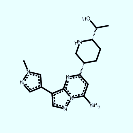 CC(O)[C@@H]1CC[C@H](c2cc(N)n3ncc(-c4cnn(C)c4)c3n2)CN1